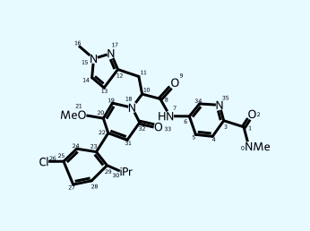 CNC(=O)c1ccc(NC(=O)C(Cc2ccn(C)n2)n2cc(OC)c(-c3cc(Cl)ccc3C(C)C)cc2=O)cn1